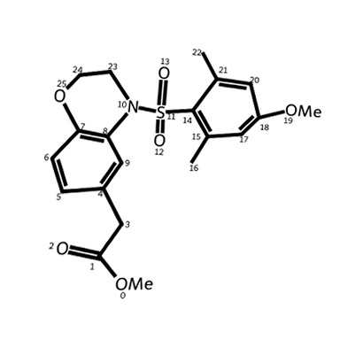 COC(=O)Cc1ccc2c(c1)N(S(=O)(=O)c1c(C)cc(OC)cc1C)CCO2